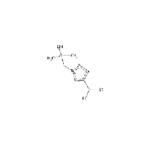 CCC(CC)c1cnn(CC(C)(C)O)c1